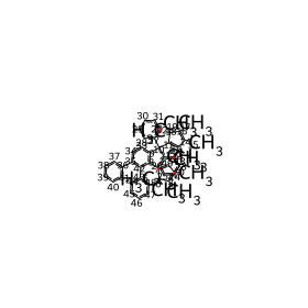 CC1=C(C)C(C)(C)C(c2c(C(C3=C(C)C(C)=C(C)C3(C)C)(c3ccccc3)c3ccccc3)ccc(-c3ccccc3)c2-c2ccccc2)=C1C